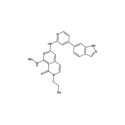 CC(C)(C)Nc1nc(Nc2cc(-c3ccc4cn[nH]c4c3)ccn2)cc2ccn(CCO)c(=O)c12